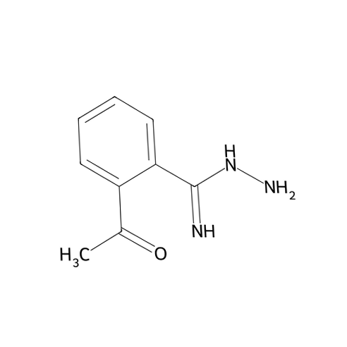 CC(=O)c1ccccc1C(=N)NN